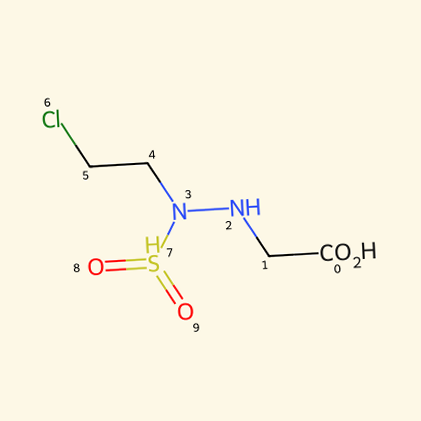 O=C(O)CNN(CCCl)[SH](=O)=O